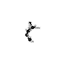 COC(=O)c1ccc(NC(=O)Cc2c(F)cc(-c3cccc(OCc4ccc(C#N)cc4F)n3)cc2F)c(NC[C@@H]2CCO2)c1